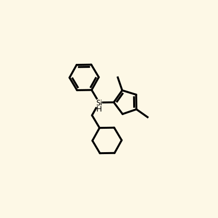 CC1=CC(C)=C([SiH](CC2CCCCC2)c2ccccc2)C1